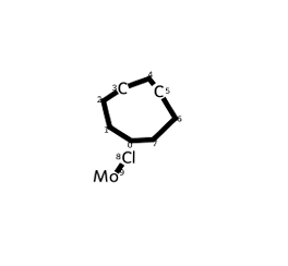 C1CCCCCCC1.[Cl][Mo]